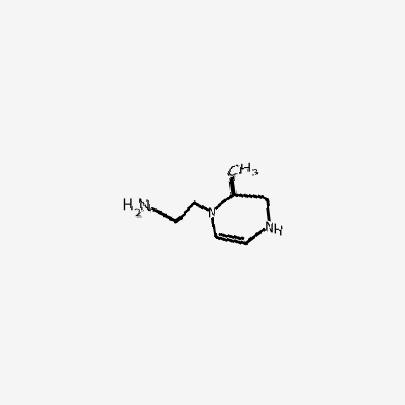 CC1CNC=CN1CCN